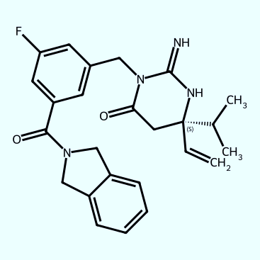 C=C[C@@]1(C(C)C)CC(=O)N(Cc2cc(F)cc(C(=O)N3Cc4ccccc4C3)c2)C(=N)N1